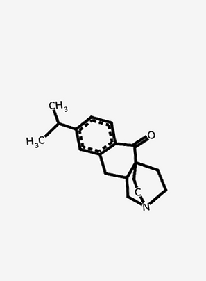 CC(C)c1ccc2c(c1)CC1CN3CCC1(CC3)C2=O